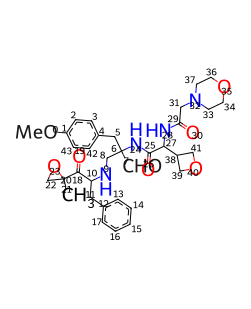 COc1ccc(CC(C=O)(CNC(Cc2ccccc2)C(=O)C2(C)CO2)NC(=O)C(NC(=O)CN2CCOCC2)C2COC2)cc1